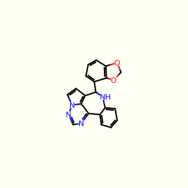 c1ccc2c(c1)NC(c1cccc3c1OCO3)c1ccn3ncnc-2c13